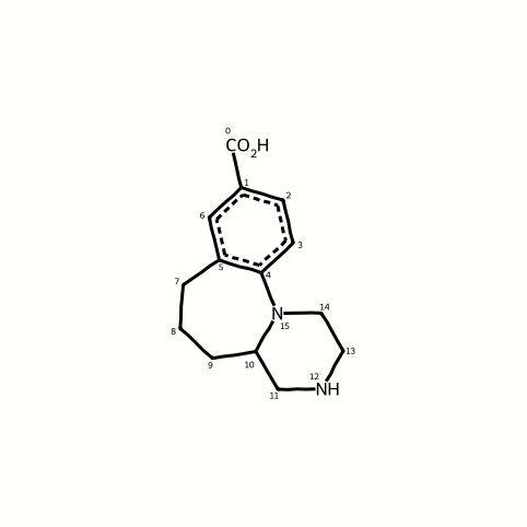 O=C(O)c1ccc2c(c1)CCCC1CNCCN21